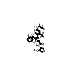 C[C@H](Nc1cc(C(F)(F)F)c(-c2sc(C(=O)N[C@@H]3COC[C@@H]3O)nc2C(=O)N2[C@H]3CC[C@@H]2CC3)cn1)C(F)(F)F